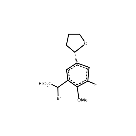 CCOC(=O)C(Br)c1cc([C@@H]2CCCO2)cc(F)c1OC